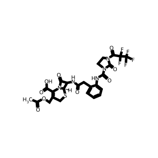 CC(=O)OCC1=C(C(=O)O)N2C(=O)C(NC(=O)Cc3ccccc3NC(=O)N3CCN(C(=O)C(F)(F)C(F)(F)F)C3=O)[C@H]2SC1